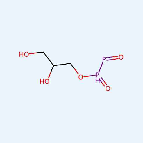 O=P[PH](=O)OCC(O)CO